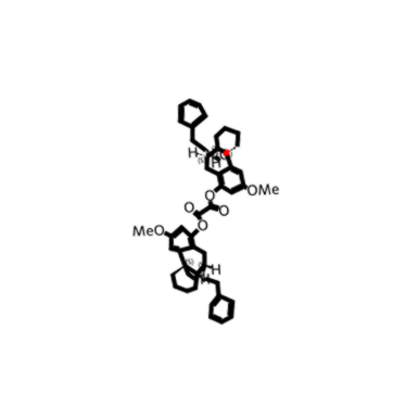 COc1cc(OC(=O)C(=O)Oc2cc(OC)cc3c2C[C@H]2[C@H]4CCCC[C@@]34CCN2Cc2ccccc2)c2c(c1)[C@]13CCCC[C@@H]1[C@H](C2)N(Cc1ccccc1)CC3